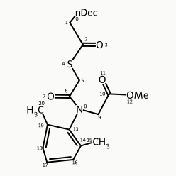 CCCCCCCCCCCC(=O)SCC(=O)N(CC(=O)OC)c1c(C)cccc1C